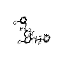 O=C(Cc1c(Cl)ccc(NCC(F)(F)c2ccccn2)[n+]1[O-])NCc1cccc(Cl)c1